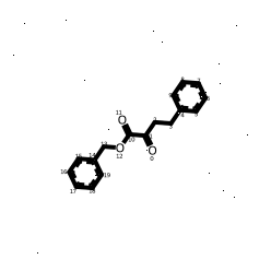 O=C(CCc1ccccc1)C(=O)OCc1ccccc1